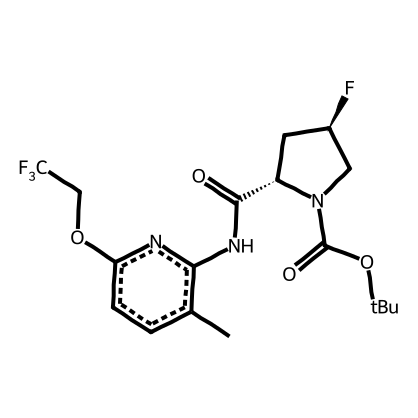 Cc1ccc(OCC(F)(F)F)nc1NC(=O)[C@@H]1C[C@@H](F)CN1C(=O)OC(C)(C)C